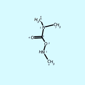 CNOC(=O)N(C)C